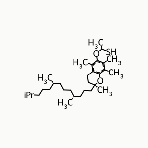 Cc1c(C)c2c(c(C)c1OC(C)S)CC[C@@](C)(CCC[C@H](C)CCC[C@H](C)CCCC(C)C)O2